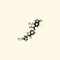 Cc1nsc(NC(=O)C2CCN(C[C@H](O)c3ccc4c(c3C)COC4=O)CC2)n1